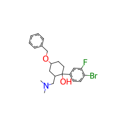 CN(C)CC1CC(OCc2ccccc2)CCC1(O)c1ccc(Br)c(F)c1